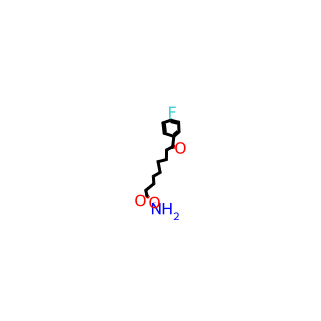 NOC(=O)CCCCCCCC(=O)c1ccc(F)cc1